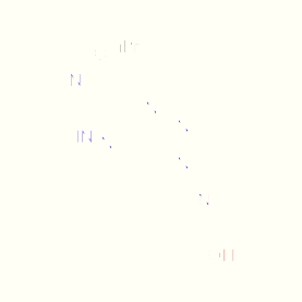 CC(C)Oc1cc2c(-c3cc(N4CCN(CCO)CC4)ncn3)n[nH]c2cn1